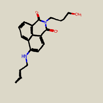 CCCCNc1ccc2c3c(cccc13)C(=O)N(CCCO)C2=O